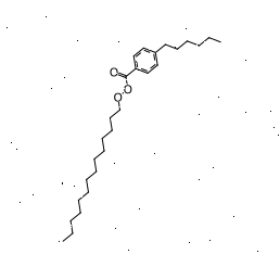 [CH2]CCCCCCCCCCCCCOOC(=O)c1ccc(CCCCCC)cc1